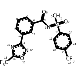 CS(=O)(=NC(=O)c1cccc(-c2noc(C(F)(F)F)n2)c1)c1ccc(C(F)(F)F)cc1